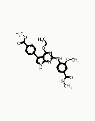 CCOc1nc(Nc2ccc(C(=O)NC)cc2OC)nc2[nH]cc(-c3ccc(C(=O)OC)cc3)c12